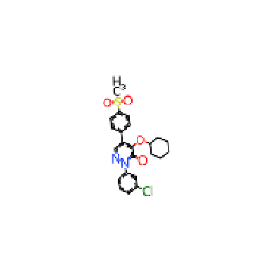 CS(=O)(=O)c1ccc(-c2cnn(-c3cccc(Cl)c3)c(=O)c2OC2CCCCC2)cc1